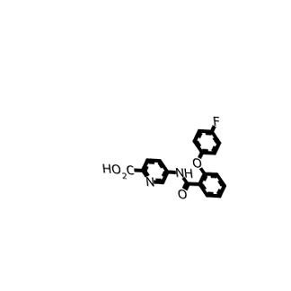 O=C(O)c1ccc(NC(=O)c2ccccc2Oc2ccc(F)cc2)cn1